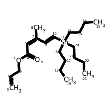 C=CCOC(=O)C=C(C)C=[CH][Sn]([CH2]CCC)([CH2]CCC)[CH2]CCC